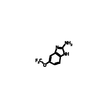 Nc1nc2cc(OC(F)(F)F)ccc2[nH]1